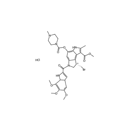 COC(=O)c1c(C)[nH]c2c(OC(=O)N3CCN(C)CC3)cc3c(c12)[C@H](CBr)CN3C(=O)C1=CC2C=C(OC)C(OC)=C(OC)C2N1.Cl